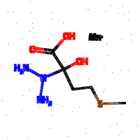 CSCCC(O)(C(=O)O)N(N)N.[Mn]